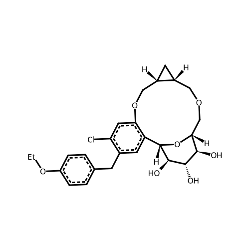 CCOc1ccc(Cc2cc3c(cc2Cl)OC[C@@H]2C[C@@H]2COC[C@H]2O[C@@H]3[C@H](O)[C@@H](O)[C@@H]2O)cc1